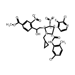 COC(=O)c1ccc(C(O)C[C@H]2[C@@H]([N+](=O)[O-])[C@H](c3ccnc(Cl)c3F)[C@H](C(=O)Nc3cc(Cl)ccc3C)N2CC2CC2)c([N+](=O)[O-])c1